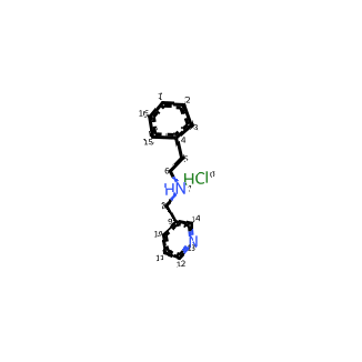 Cl.c1ccc(CCNCc2cccnc2)cc1